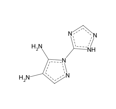 Nc1cnn(-c2ncn[nH]2)c1N